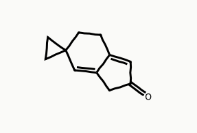 O=C1C=C2CCC3(C=C2C1)CC3